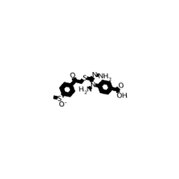 C[S+]([O-])c1ccc(C(=O)CS/C(=N/N)N(N)c2ccc(C(=O)O)cc2)cc1